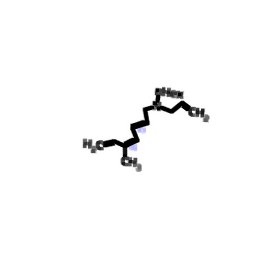 C=CCN(C/C=C/C=C(/C)C=C)CCCCCC